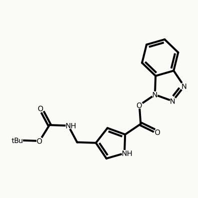 CC(C)(C)OC(=O)NCc1c[nH]c(C(=O)On2nnc3ccccc32)c1